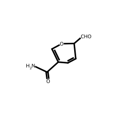 NC(=O)C1=COC(C=O)C=C1